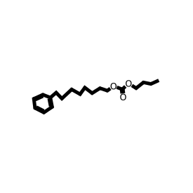 CCCCOC(=O)OCCCCCCCCc1ccccc1